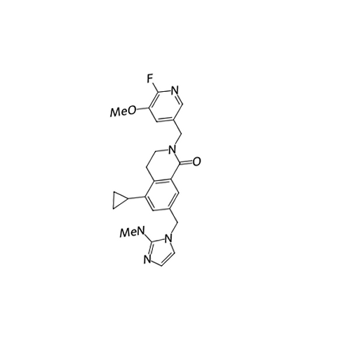 CNc1nccn1Cc1cc2c(c(C3CC3)c1)CCN(Cc1cnc(F)c(OC)c1)C2=O